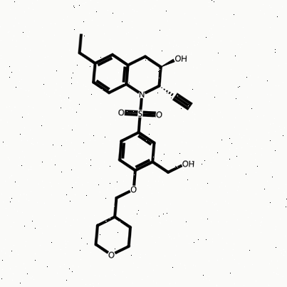 C#C[C@H]1[C@H](O)Cc2cc(CC)ccc2N1S(=O)(=O)c1ccc(OCC2CCOCC2)c(CO)c1